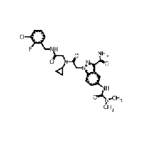 CN(C)C(=O)Nc1ccc2c(c1)c(C(N)=O)nn2CC(=O)N(CC(=O)NCc1cccc(Cl)c1F)C1CC1